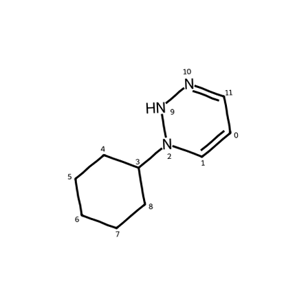 C1=CN(C2CCCCC2)NN=C1